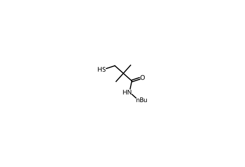 CCCCNC(=O)C(C)(C)CS